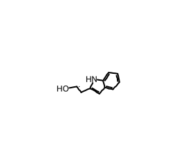 O[CH]Cc1cc2ccccc2[nH]1